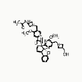 COc1cc(C(=O)NC2(c3ncc(CN4CC(CO)C4)c(OC)n3)C=CC=C(c3ccccc3Cl)C2Cl)ncc1CN1CC(NC(C)=O)C1